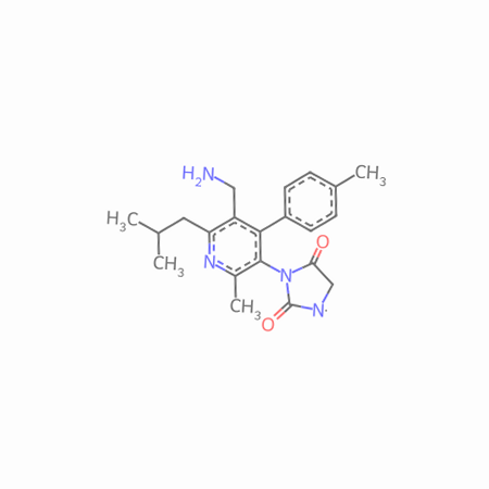 Cc1ccc(-c2c(CN)c(CC(C)C)nc(C)c2N2C(=O)C[N]C2=O)cc1